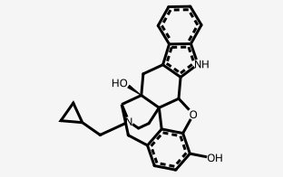 Oc1ccc2c3c1OC1c4[nH]c5ccccc5c4C[C@@]4(O)C(C2)N(CC2CC2)CCC314